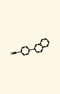 N#Cc1ccc(-c2ccc3ccccc3c2)cc1